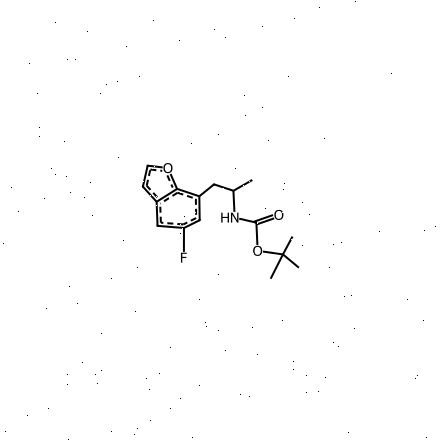 CC(Cc1cc(F)cc2ccoc12)NC(=O)OC(C)(C)C